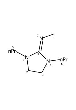 CCCN1CCN(CCC)C1=NC